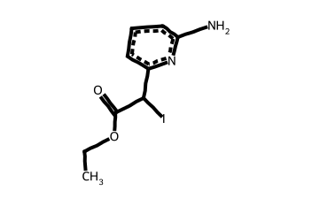 CCOC(=O)C(I)c1cccc(N)n1